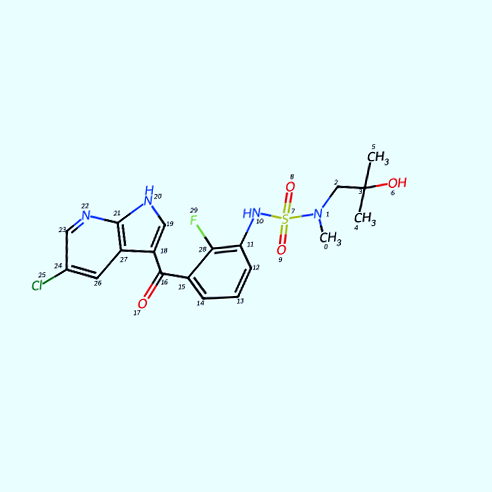 CN(CC(C)(C)O)S(=O)(=O)Nc1cccc(C(=O)c2c[nH]c3ncc(Cl)cc23)c1F